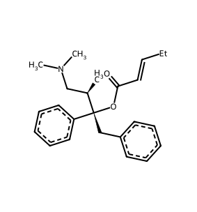 CCC=CC(=O)O[C@](Cc1ccccc1)(c1ccccc1)[C@H](C)CN(C)C